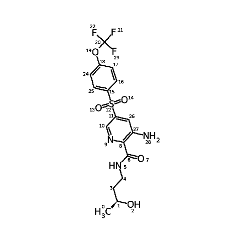 C[C@H](O)CCNC(=O)c1ncc(S(=O)(=O)c2ccc(OC(F)(F)F)cc2)cc1N